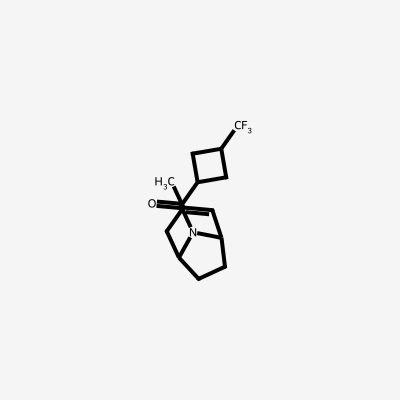 CC1=CC2CCC(C1)N2C(=O)C1CC(C(F)(F)F)C1